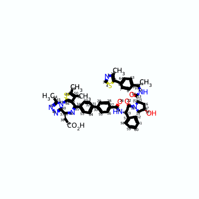 Cc1ncsc1-c1ccc([C@H](C)NC(=O)[C@@H]2C[C@@H](O)CN2C(=O)[C@@H](NC(=O)c2ccc(-c3ccc(C4=N[C@@H](CC(=O)O)c5nnc(C)n5-c5sc(C)c(C)c54)cc3)cc2)c2ccccc2)cc1